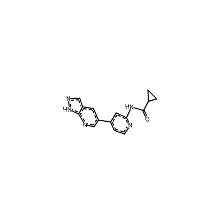 O=C(Nc1cc(-c2cnc3[nH]ncc3c2)ccn1)C1CC1